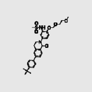 COCCOCOc1ccc(N2CCc3cc(-c4ccc(C(C)(C)C)cc4)ccc3C2=O)cc1NS(C)(=O)=O